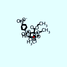 CCOC(=O)C(C[C@](C)(NS(=O)(=O)c1ccc([N+](=O)[O-])cc1)C(F)(F)F)P(=O)(OCC)OCC